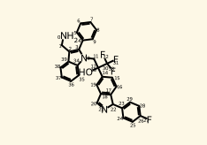 NCc1c(-c2ccccc2)n(CC(O)(c2ccc3c(c2)C=NC3c2ccc(F)cc2)C(F)(F)F)c2ccccc12